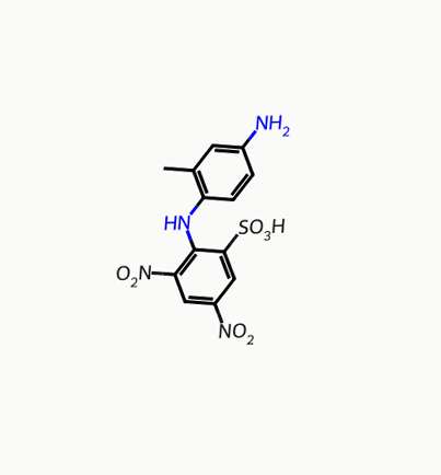 Cc1cc(N)ccc1Nc1c([N+](=O)[O-])cc([N+](=O)[O-])cc1S(=O)(=O)O